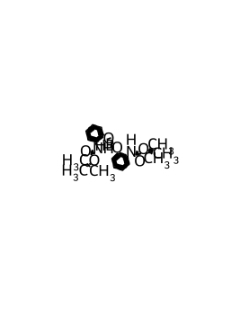 CC(C)(C)OC(=O)Nc1ccccc1OBOc1ccccc1NC(=O)OC(C)(C)C